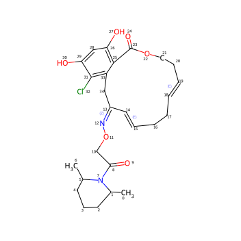 CC1CCCC(C)N1C(=O)CO/N=C1\C=C\CC/C=C/CCOC(=O)c2c(O)cc(O)c(Cl)c2C1